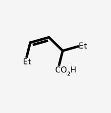 CC/C=C\C(CC)C(=O)O